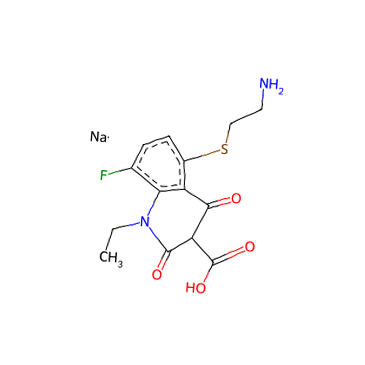 CCN1C(=O)C(C(=O)O)C(=O)c2c(SCCN)ccc(F)c21.[Na]